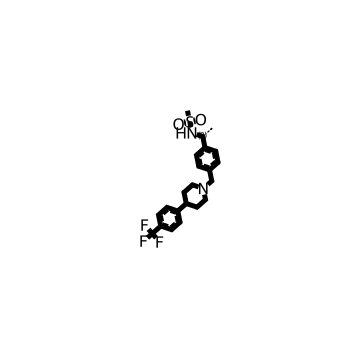 C[C@@H](NS(C)(=O)=O)c1ccc(CN2CCC(c3ccc(C(F)(F)F)cc3)CC2)cc1